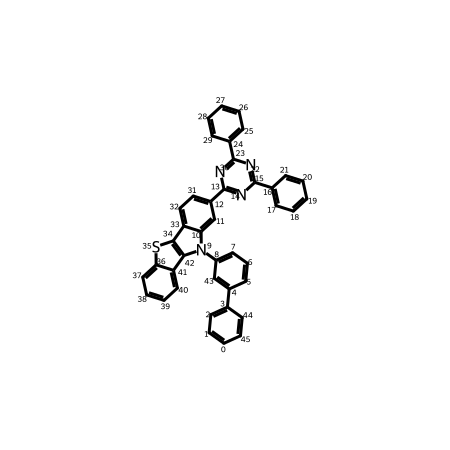 c1ccc(-c2cccc(-n3c4cc(-c5nc(-c6ccccc6)nc(-c6ccccc6)n5)ccc4c4sc5ccccc5c43)c2)cc1